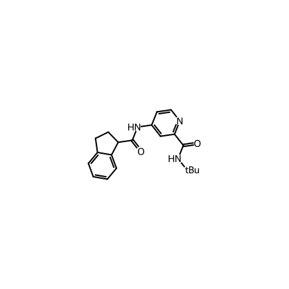 CC(C)(C)NC(=O)c1cc(NC(=O)C2CCc3ccccc32)ccn1